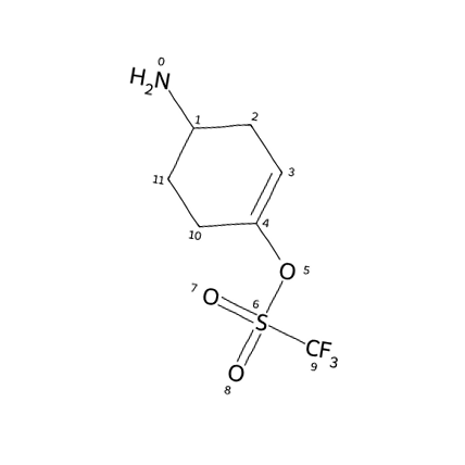 NC1CC=C(OS(=O)(=O)C(F)(F)F)CC1